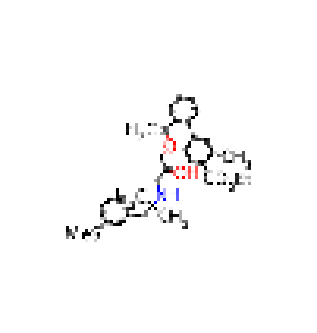 CCOC(=O)c1ccc(-c2ccccc2[C@@H](C)OC[C@@H](O)CNC(C)(C)Cc2cccc(SC)c2)cc1C